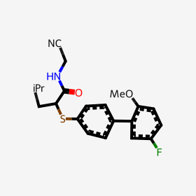 COc1ccc(F)cc1-c1ccc(SC(CC(C)C)C(=O)NCC#N)cc1